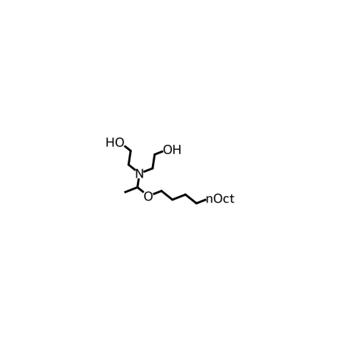 CCCCCCCCCCCCOC(C)N(CCO)CCO